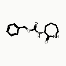 O=C(N[C@H]1CCCCNC1=O)OCc1ccccc1